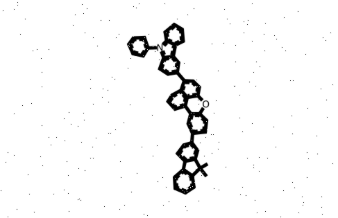 CC1(C)c2ccccc2-c2ccc(-c3ccc4c(c3)-c3cccc5c(-c6ccc7c(c6)c6ccccc6n7-c6ccccc6)ccc(c35)O4)cc21